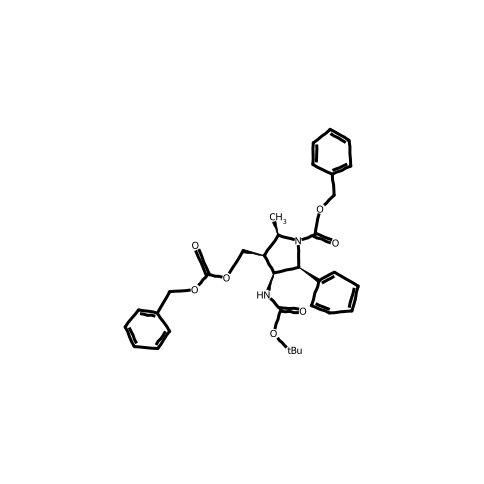 C[C@@H]1[C@H](COC(=O)OCc2ccccc2)[C@H](NC(=O)OC(C)(C)C)[C@H](c2ccccc2)N1C(=O)OCc1ccccc1